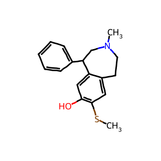 CSc1cc2c(cc1O)C(c1ccccc1)CN(C)CC2